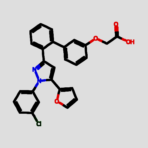 O=C(O)COc1cccc(-c2ccccc2-c2cc(-c3ccco3)n(-c3cccc(Cl)c3)n2)c1